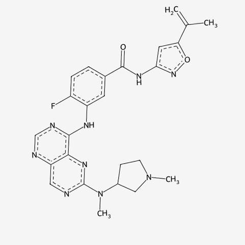 C=C(C)c1cc(NC(=O)c2ccc(F)c(Nc3ncnc4cnc(N(C)C5CCN(C)C5)nc34)c2)no1